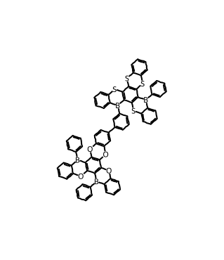 c1ccc(B2c3ccccc3Oc3c2c2c(c4c3B(c3ccccc3)c3ccccc3O4)Oc3cc(-c4cccc(B5c6ccccc6Sc6c7c(c8c(c65)Sc5ccccc5B8c5ccccc5)Sc5ccccc5S7)c4)ccc3O2)cc1